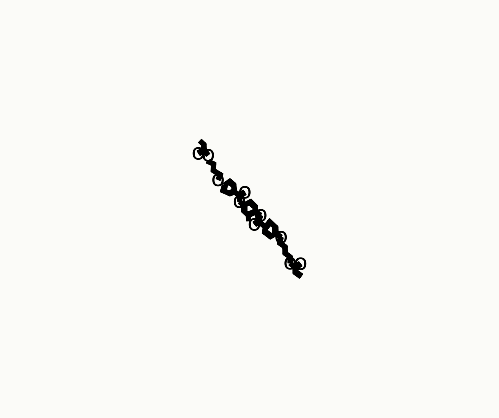 C=CC(=O)OCCCCOc1ccc(C(=O)Oc2ccc(OC(=O)c3ccc(OCCCCOC(=O)CC)cc3)cc2C)cc1